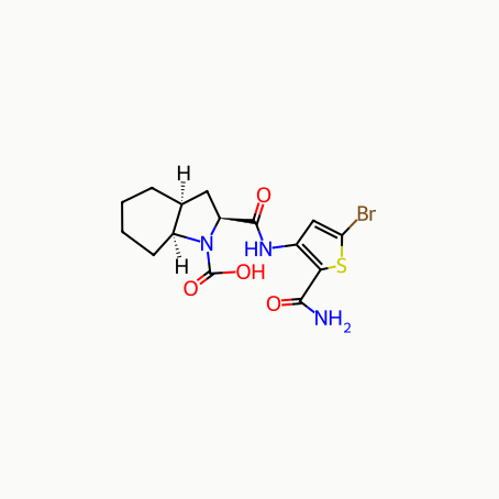 NC(=O)c1sc(Br)cc1NC(=O)[C@@H]1C[C@@H]2CCCC[C@@H]2N1C(=O)O